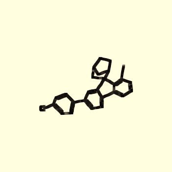 Cc1cccc2c1C1(CC3CCC1C3)c1cc(-c3ccc(Cl)cc3)ccc1-2